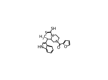 CC(c1c[nH]c2ccccc12)C1CN(C(=O)c2ccco2)CCN1C(=S)S